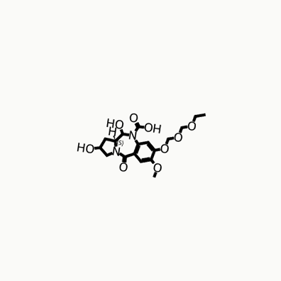 CCOCOCOc1cc2c(cc1OC)C(=O)N1CC(O)C[C@H]1C(O)N2C(=O)O